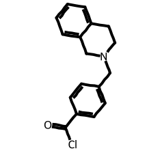 O=C(Cl)c1ccc(CN2CCc3ccccc3C2)cc1